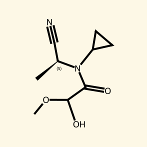 COC(O)C(=O)N(C1CC1)[C@@H](C)C#N